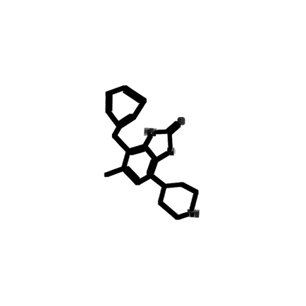 Cc1cc(C2CCNCC2)c2c(c1Cc1ccccc1)NC(=O)[N]2